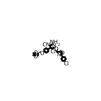 [C-]#[N+]c1c(N)nc(OCc2coc(-c3ccc(Cl)cc3)n2)c(C#N)c1-c1ccc(OC[C@H]2COC(C)(C)O2)cc1